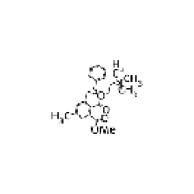 COC(=O)c1cc(C)cc(CSc2ccccc2)c1C(=O)OCC[Si](C)(C)C